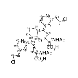 CC(=O)N[C@@H](CSC(c1cc(SCCl)ncn1)C1CCCC(C(SC[C@H](NC(C)=O)C(=O)O)c2nccc(SCCl)n2)C1=O)C(=O)O